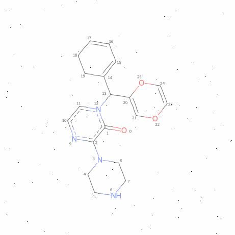 O=c1c(N2CCNCC2)nccn1C(C1=CC=CCC1)C1=COC=CO1